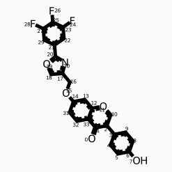 O=c1c(-c2ccc(O)cc2)coc2cc(OCc3coc(-c4cc(F)c(F)c(F)c4)n3)ccc12